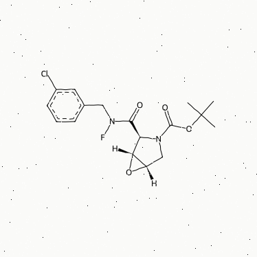 CC(C)(C)OC(=O)N1C[C@@H]2O[C@@H]2[C@H]1C(=O)N(F)Cc1cccc(Cl)c1